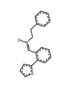 [O-]/[N+](=C/c1ccccc1-c1cccs1)CCc1ccccc1